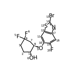 O[C@H]1CCC(F)(F)C[C@H]1Oc1cc2sc(Br)nc2cc1F